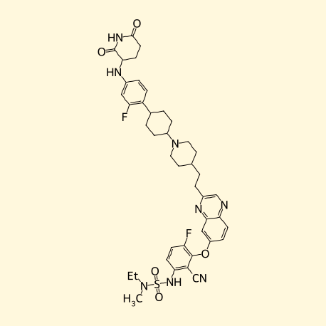 CCN(C)S(=O)(=O)Nc1ccc(F)c(Oc2ccc3ncc(CCC4CCN(C5CCC(c6ccc(NC7CCC(=O)NC7=O)cc6F)CC5)CC4)nc3c2)c1C#N